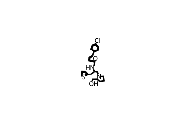 OCC1CCCN1CC(Cc1cccs1)NCc1ccc(-c2ccc(Cl)cc2)o1